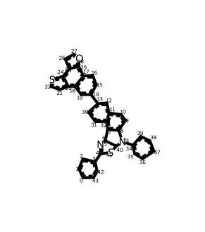 c1ccc(C2=NC3c4c(ccc5cc(-c6ccc7c(c6)c6ccsc6c6ccoc76)ccc45)N(c4ccccc4)C3S2)cc1